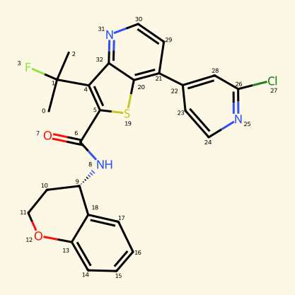 CC(C)(F)c1c(C(=O)N[C@H]2CCOc3ccccc32)sc2c(-c3ccnc(Cl)c3)ccnc12